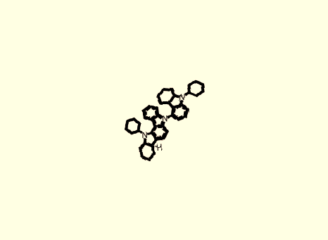 c1cc2c(c(-n3c4ccccc4c4c5c(ccc43)[C@H]3CCCCC3N5C3CCCCC3)c1)C1CCCCC1N2C1CCCCC1